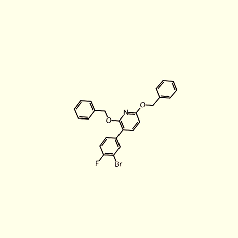 Fc1ccc(-c2ccc(OCc3ccccc3)nc2OCc2ccccc2)cc1Br